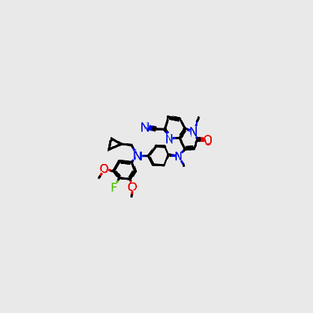 COc1cc(N(CC2CC2)C2CCC(N(C)c3cc(=O)n(C)c4ccc(C#N)nc34)CC2)cc(OC)c1F